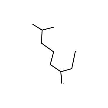 [CH2]C(CC)CCCC(C)C